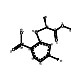 COC(=O)[C@H](C)Oc1cc(F)ccc1[N+](=O)[O-]